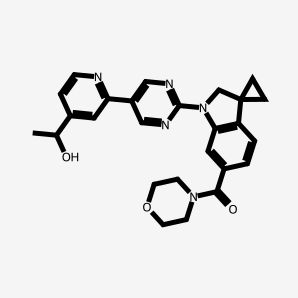 CC(O)c1ccnc(-c2cnc(N3CC4(CC4)c4ccc(C(=O)N5CCOCC5)cc43)nc2)c1